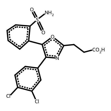 NS(=O)(=O)c1ccccc1-c1oc(CCC(=O)O)nc1-c1ccc(Cl)c(Cl)c1